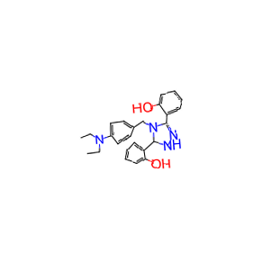 CCN(CC)c1ccc(CN2C(c3ccccc3O)=NNC2c2ccccc2O)cc1